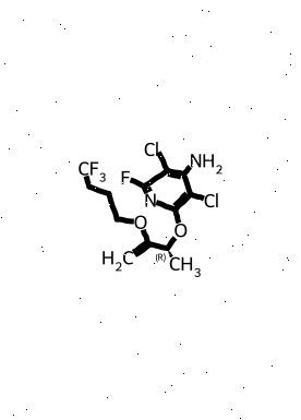 C=C(OCCCC(F)(F)F)[C@@H](C)Oc1nc(F)c(Cl)c(N)c1Cl